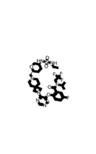 CCNS(=O)(=O)N[C@H]1CC[C@H](CN2CCC3(CC2)CN(c2ncnnc2Oc2ccc(F)cc2C(=O)N(CC(F)(F)F)C(C)C)C3)OC1